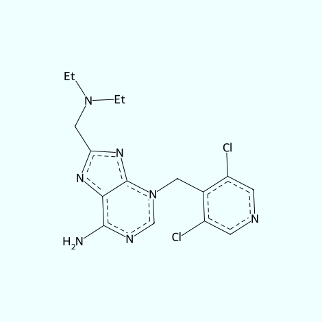 CCN(CC)Cc1nc2c(N)ncn(Cc3c(Cl)cncc3Cl)c-2n1